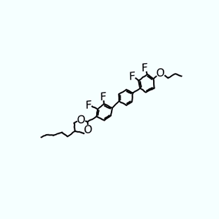 CCCCCC1COC(c2ccc(-c3ccc(-c4ccc(OCCC)c(F)c4F)cc3)c(F)c2F)OC1